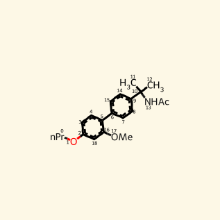 CCCOc1ccc(-c2ccc(C(C)(C)NC(C)=O)cc2)c(OC)c1